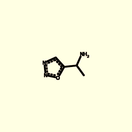 CC(N)c1cnno1